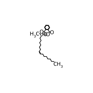 CCCCCCCC/C=C\CCCCCCCC(C)OC(=O)c1ccccc1C(=O)O